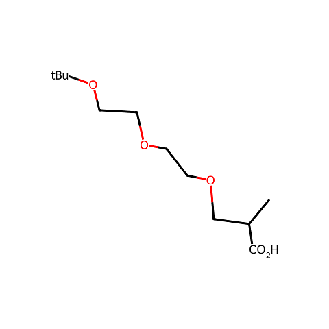 CC(COCCOCCOC(C)(C)C)C(=O)O